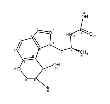 C[C@@H](Cn1ncc2ccc3c(c21)C(O)C(Br)CO3)NC(=O)O